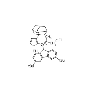 C[C](C)=[Zr+2]([C]1=C(C23CC4CC(CC(C4)C2)C3)C=CC1C)[CH]1c2ccc(C(C)(C)C)cc2-c2cc(C(C)(C)C)ccc21.[Cl-].[Cl-]